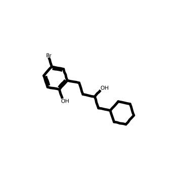 Oc1ccc(Br)cc1CCC(O)CC1CCCCC1